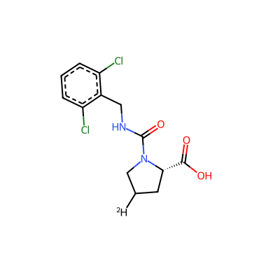 [2H]C1C[C@@H](C(=O)O)N(C(=O)NCc2c(Cl)cccc2Cl)C1